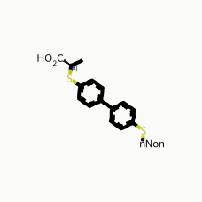 CCCCCCCCCSc1ccc(-c2ccc(S[C@H](C)C(=O)O)cc2)cc1